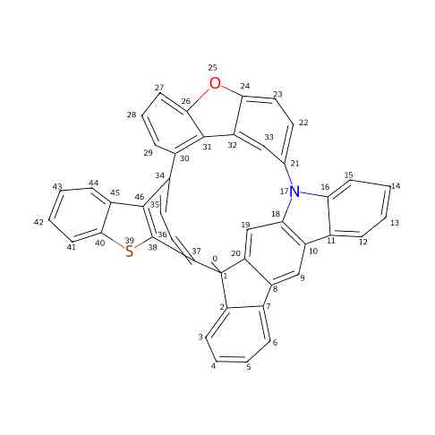 CC12c3ccccc3-c3cc4c5ccccc5n(c4cc31)-c1ccc3oc4cccc(c4c3c1)-c1ccc2c2sc3ccccc3c12